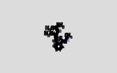 C\C=N/C(C)=c1\cccc\c1=C\C=C(C)\C=C(/C)N